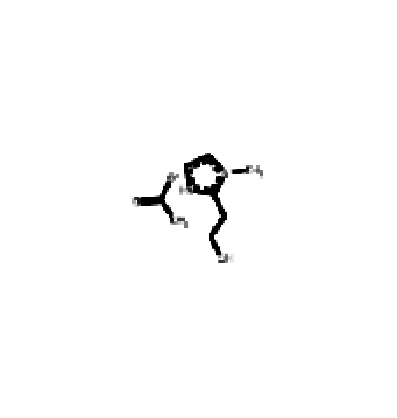 CC(=O)[O-].C[n+]1cc[nH]c1CCO